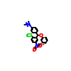 CN(C)c1ccc(C(Oc2ccccc2)c2cc([N+](=O)[O-])ccc2Cl)cc1